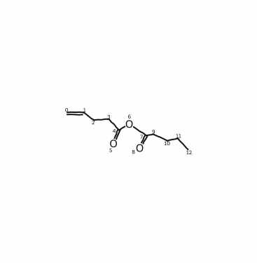 C=CCCC(=O)OC(=O)CCCC